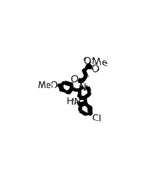 COC(=O)CCC(=O)N1CCc2c([nH]c3ccc(Cl)cc23)C1c1ccc(OC)cc1